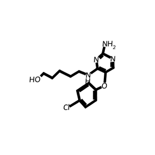 Nc1ncc(Oc2ccc(Cl)cc2)c(NCCCCCO)n1